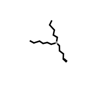 C=CCCCN(CCCCC)CCCCCC